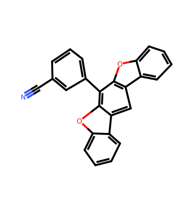 N#Cc1cccc(-c2c3oc4ccccc4c3cc3c2oc2ccccc23)c1